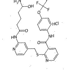 Cl.NC(O)CCCC(=O)Nc1cc(CSc2ncccc2C(=O)Nc2ccc(OC(F)(F)F)cc2)ccn1